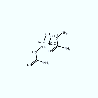 N=C(N)NN.N=C(N)NN.O=C(O)O.O=C(O)O